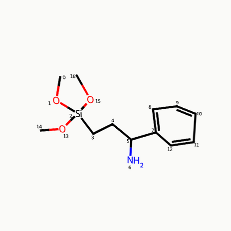 CO[Si](CCC(N)c1ccccc1)(OC)OC